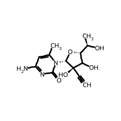 C#C[C@@]1(O)C(O)[C@@H]([C@@H](C)O)O[C@H]1n1c(C)cc(N)nc1=O